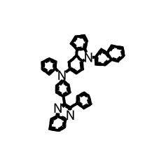 C1=C(N(c2ccccc2)c2ccc(-c3nc4ccccc4nc3-c3ccccc3)cc2)CC2C(=C1)N(c1ccc3ccccc3c1)c1ccccc12